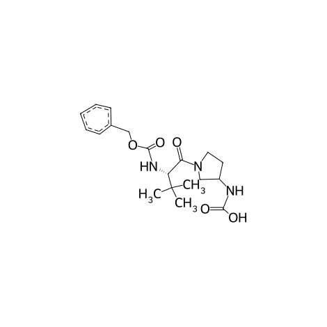 CC(C)(C)[C@H](NC(=O)OCc1ccccc1)C(=O)N1CCC(NC(=O)O)C1